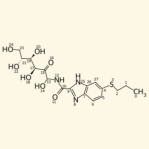 CCCSc1ccc2nc(C(=O)NC(O)C(=O)[C@@H](O)[C@H](O)[C@H](O)CO)[nH]c2c1